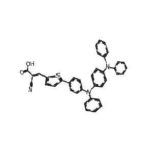 N#C/C(=C\c1ccc(-c2ccc(N(c3ccccc3)c3ccc(N(c4ccccc4)c4ccccc4)cc3)cc2)s1)C(=O)O